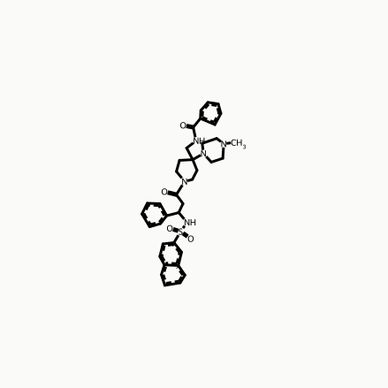 CN1CCN(C2(CNC(=O)c3ccccc3)CCN(C(=O)CC(NS(=O)(=O)c3ccc4ccccc4c3)c3ccccc3)CC2)CC1